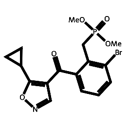 COP(=O)(Cc1c(Br)cccc1C(=O)c1cnoc1C1CC1)OC